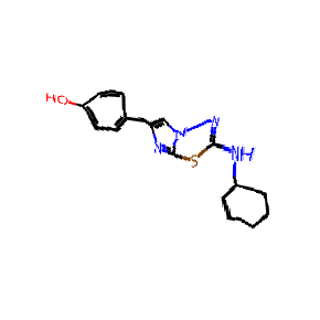 Oc1ccc(-c2cn3nc(NC4CCCCC4)sc3n2)cc1